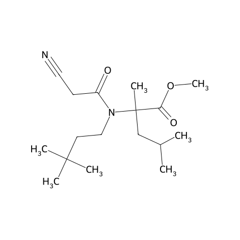 COC(=O)C(C)(CC(C)C)N(CCC(C)(C)C)C(=O)CC#N